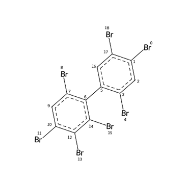 Brc1cc(Br)c(-c2c(Br)cc(Br)c(Br)c2Br)cc1Br